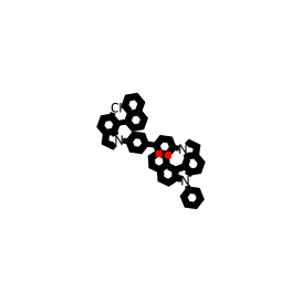 Cc1ccc2ccn(-c3ccc(-c4ccc(-n5ccc6ccc7c(c8c9ccccc9ccc8n7-c7ccccc7)c65)cc4)cc3)c2c1-c1cccc2ccccc12